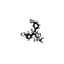 CC(C)NC(=O)Cc1nc(-c2cccc(Br)c2)sc1-c1cccc(Cl)c1